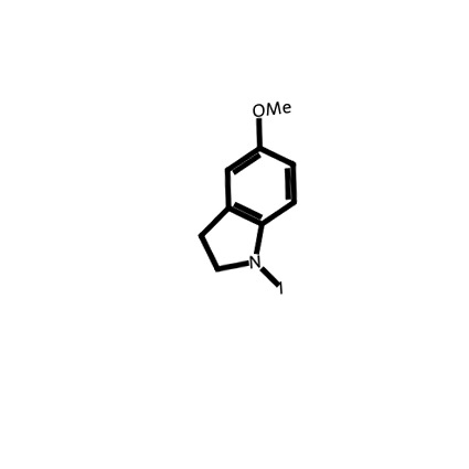 COc1ccc2c(c1)CCN2I